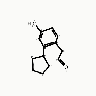 Cc1ccc(CC=O)c(C2CCCC2)c1